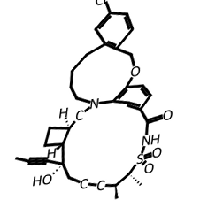 CC#C[C@]1(O)CCC[C@H](C)[C@@H](C)S(=O)(=O)NC(=O)c2ccc3c(c2)N(CCCCc2cc(Cl)ccc2CO3)C[C@@H]2CC[C@H]21